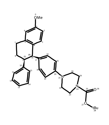 COc1ccc2c(c1)CC[C@H](c1ccccc1)[C@@H]2c1ccc(N2CCN(C(=O)OC(C)(C)C)CC2)cc1